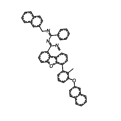 C=N/C(=N\C(=N/Cc1ccc2ccccc2c1)c1ccccc1)c1cccc2oc3c(-c4cccc(Oc5ccc6ccccc6c5)c4C)cccc3c12